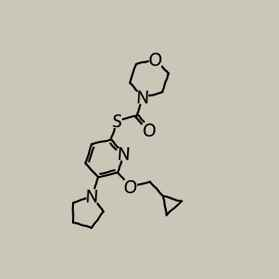 O=C(Sc1ccc(N2CCCC2)c(OCC2CC2)n1)N1CCOCC1